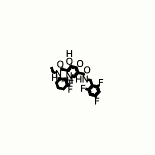 CCN1C(=O)c2c(O)c(=O)c(C(=O)NCc3c(F)cc(F)cc3F)cn2[C@@H]2[C@H]1CCCC2(F)F